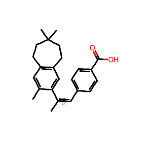 C/C(=C/c1ccc(C(=O)O)cc1)c1cc2c(cc1C)CCC(C)(C)CC2